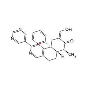 C[C@@H]1C(=O)/C(=C\O)C[C@]2(c3ccccc3)c3nc(-c4cncnc4)ncc3CC[C@@H]12